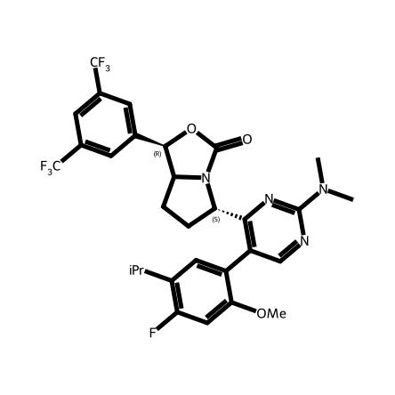 COc1cc(F)c(C(C)C)cc1-c1cnc(N(C)C)nc1[C@@H]1CCC2[C@@H](c3cc(C(F)(F)F)cc(C(F)(F)F)c3)OC(=O)N21